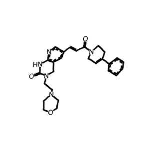 O=C(C=Cc1cnc2c(c1)CN(CCN1CCOCC1)C(=O)N2)N1CC=C(c2ccccc2)CC1